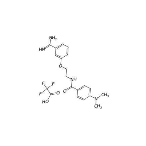 CN(C)c1ccc(C(=O)NCCOc2cccc(C(=N)N)c2)cc1.O=C(O)C(F)(F)F